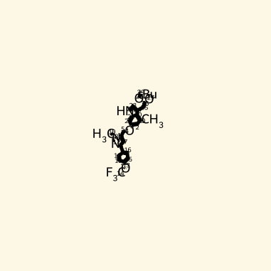 Cc1cc(OCc2cc(-c3ccc(OC(F)(F)F)cc3)nn2C)cc2[nH]cc(CC(=O)OC(C)(C)C)c12